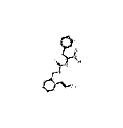 CC=CN1CCCC[C@H]1CNC(=O)NC(Cc1ccccc1)B(O)O